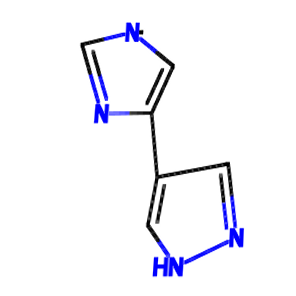 C1=NC(c2cn[nH]c2)=C[N]1